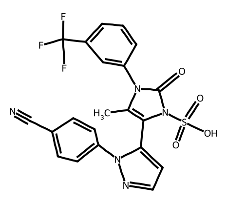 Cc1c(-c2ccnn2-c2ccc(C#N)cc2)n(S(=O)(=O)O)c(=O)n1-c1cccc(C(F)(F)F)c1